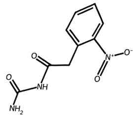 NC(=O)NC(=O)Cc1ccccc1[N+](=O)[O-]